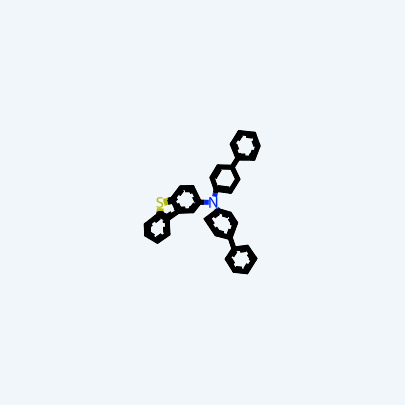 C1=CC(c2ccccc2)CC=C1N(c1ccc(-c2ccccc2)cc1)c1ccc2sc3ccccc3c2c1